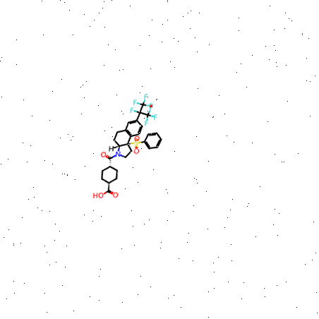 O=C(O)[C@H]1CC[C@H](C(=O)N2CC[C@@]3(S(=O)(=O)c4ccccc4)c4ccc(C(F)(C(F)(F)F)C(F)(F)F)cc4CC[C@@H]23)CC1